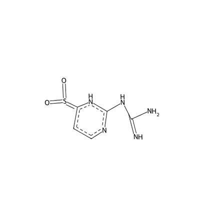 N=C(N)Nc1nccc(=S(=O)=O)[nH]1